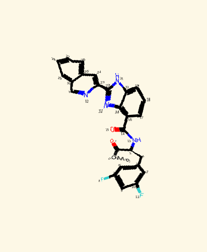 COC(=O)[C@H](Cc1cc(F)cc(F)c1)NC(=O)c1cccc2[nH]c(-c3cc4ccccc4cn3)nc12